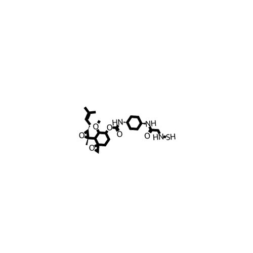 COC1C(OC(=O)N[C@H]2CC[C@H](NC(=O)CNS)CC2)CCC2(CO2)C1[C@]1(C)O[C@@H]1CC=C(C)C